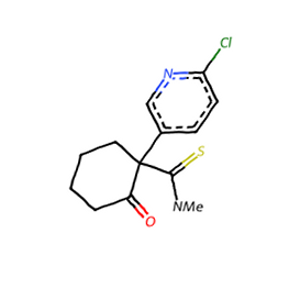 CNC(=S)C1(c2ccc(Cl)nc2)CCCCC1=O